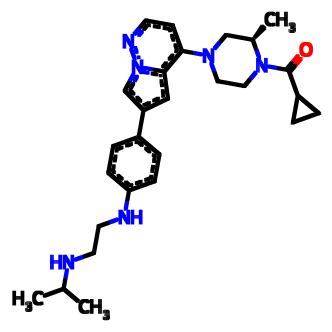 CC(C)NCCNc1ccc(-c2cc3c(N4CCN(C(=O)C5CC5)[C@H](C)C4)ccnn3c2)cc1